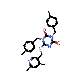 Cc1ccc(Cn2c(NCc3cnc(C)cc3C)nc(=O)n(Cc3ccc(C)cc3)c2=O)cc1